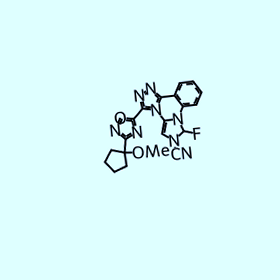 COC1(c2noc(-c3nnc4n3C3=CN(C#N)C(F)N3c3ccccc3-4)n2)CCCC1